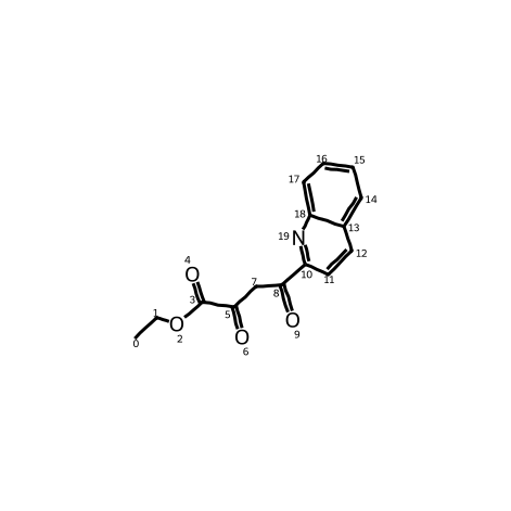 CCOC(=O)C(=O)CC(=O)c1ccc2ccccc2n1